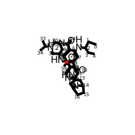 CCC(CC)Nc1cc(C(=O)NC2CC3CCC(C2)N3c2ccc(C(=O)N[C@@H]3CCCN(C(C)C)C3)cn2)c(C)cc1C(N)=O